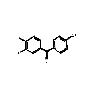 Cc1ccc(C(=S)c2ccc(F)c(F)c2)cc1